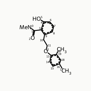 CNC(=O)c1c(O)cccc1CCOc1ccc(C)cc1C